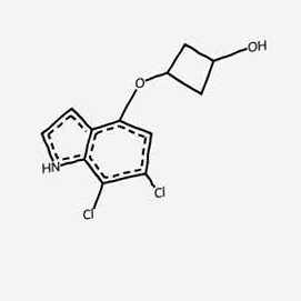 OC1CC(Oc2cc(Cl)c(Cl)c3[nH]ccc23)C1